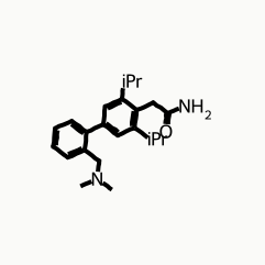 CC(C)c1cc(-c2ccccc2CN(C)C)cc(C(C)C)c1CC(N)=O